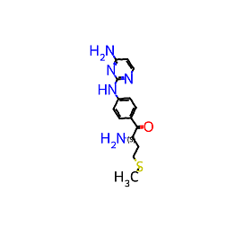 CSCC[C@H](N)C(=O)c1ccc(Nc2nccc(N)n2)cc1